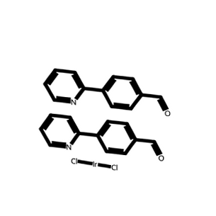 O=Cc1ccc(-c2ccccn2)cc1.O=Cc1ccc(-c2ccccn2)cc1.[Cl][Ir][Cl]